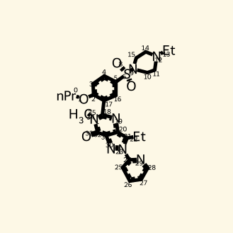 CCCOc1ccc(S(=O)(=O)N2CCN(CC)CC2)cc1-c1nc2c(CC)n(-c3ccccn3)nc2c(=O)n1C